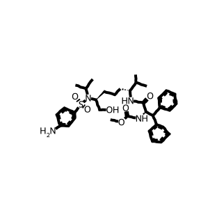 COC(=O)N[C@H](C(=O)N[C@H](CCC[C@@H](CO)N(C(C)C)S(=O)(=O)c1ccc(N)cc1)C(C)C)C(c1ccccc1)c1ccccc1